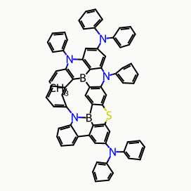 C/C=C\C1=C2B3c4cc5c(cc4N(c4ccccc4)c4cc(N(c6ccccc6)c6ccccc6)cc(c43)N1c1ccccc1)Sc1cc(N(c3ccccc3)c3ccccc3)cc3c1B5N(c1cccc2c1)c1ccccc1-3